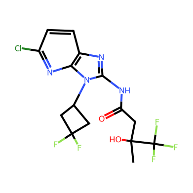 CC(O)(CC(=O)Nc1nc2ccc(Cl)nc2n1C1CC(F)(F)C1)C(F)(F)F